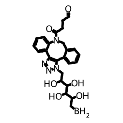 BCC(O)C(O)C(O)C(O)Cn1nnc2c1-c1ccccc1CN(C(=O)CCC=O)c1ccccc1-2